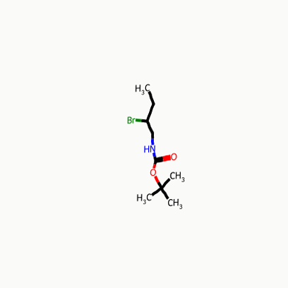 CCC(Br)CNC(=O)OC(C)(C)C